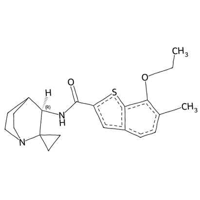 CCOc1c(C)ccc2cc(C(=O)N[C@@H]3C4CCN(CC4)C34CC4)sc12